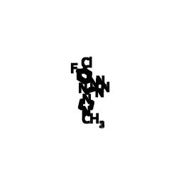 CN1CCN(c2nc3cc(F)c(Cl)cc3n3nnnc23)CC1